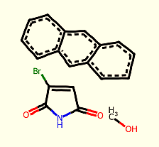 CO.O=C1C=C(Br)C(=O)N1.c1ccc2cc3ccccc3cc2c1